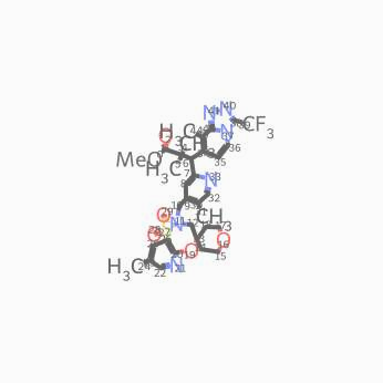 COC(=O)C(C)(C)C(c1cc(CN2CC3(CCOCC3)Oc3ncc(C)cc3S2(=O)=O)c(C)cn1)c1ccn2c(C(F)(F)F)nnc2c1C